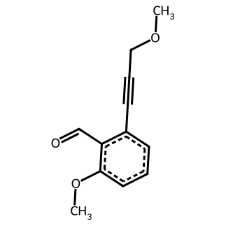 COCC#Cc1cccc(OC)c1C=O